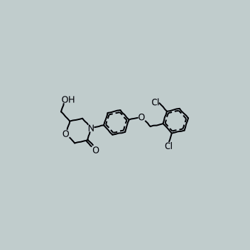 O=C1COC(CO)CN1c1ccc(OCc2c(Cl)cccc2Cl)cc1